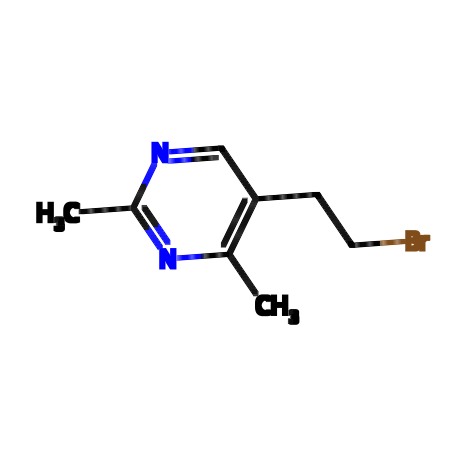 Cc1ncc(CCBr)c(C)n1